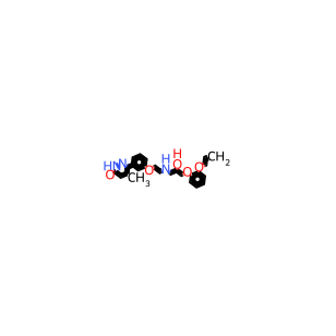 C=CCOc1ccccc1OCC(O)CNCCOc1cccc(C2=NNC(=O)CC2C)c1